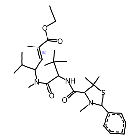 CCOC(=O)/C(C)=C/C(C(C)C)N(C)C(=O)C(NC(=O)C1N(C)C(c2ccccc2)SC1(C)C)C(C)(C)C